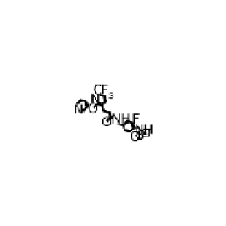 CS(=O)(=O)Nc1ccc(CNC(=O)C=Cc2ccc(C(F)(F)F)nc2Oc2cccnc2)cc1F